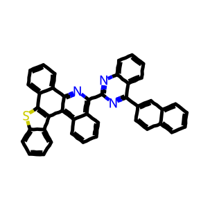 c1ccc2cc(-c3nc(-c4nc5c6ccccc6c6sc7ccccc7c6c5c5ccccc45)nc4ccccc34)ccc2c1